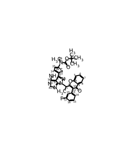 CC(c1oc2ccccc2c(=O)c1-c1cccc(F)c1)n1nc(-c2ccc(N(C)C(=O)OC(C)(C)C)s2)c2c(N)ncnc21